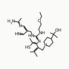 CCOCCN/C(=N/C(C(CN1CCC(C(C)(C)O)CC1)=C(C)C)=C(\C)S)NC/C(C=N)=C/N=C(\C)N